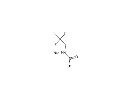 O=S([O-])NCC(F)(F)F.[Na+]